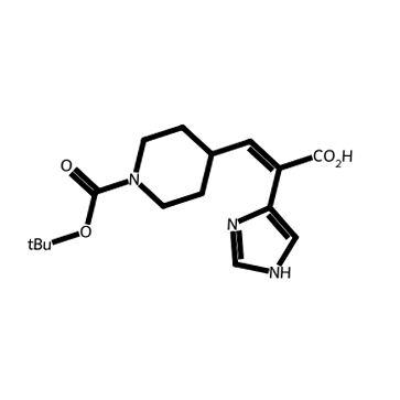 CC(C)(C)OC(=O)N1CCC(C=C(C(=O)O)c2c[nH]cn2)CC1